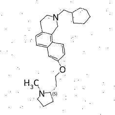 CN1CCC[C@H]1CCOc1ccc2c3c(ccc2c1)CCN(CC1CCCCC1)C3